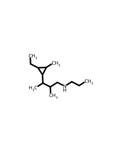 CCCNCC(C)C(C)C1C(C)C1CC